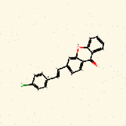 O=c1c2ccccc2oc2cc(/C=C/c3ccc(Cl)cc3)ccc12